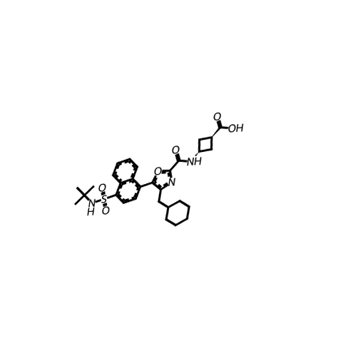 CC(C)(C)NS(=O)(=O)c1ccc(-c2oc(C(=O)N[C@H]3C[C@H](C(=O)O)C3)nc2CC2CCCCC2)c2ccccc12